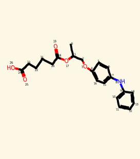 CC(COc1ccc(Nc2ccccc2)cc1)OC(=O)CCCCC(=O)O